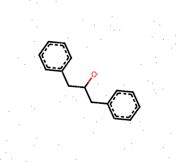 [O]C(Cc1ccccc1)Cc1ccccc1